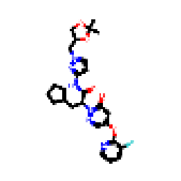 CC1(C)OCC(Cn2ccc(NC(=O)C(CC3CCCC3)n3ncc(Oc4ncccc4F)cc3=O)n2)O1